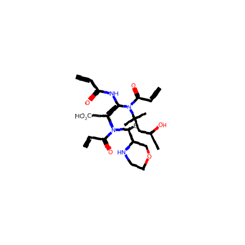 C=CC(=O)NC(=C(C(=O)O)N(C(=O)C=C)C(CC)C1COCCN1)N(C(=O)C=C)C(C)(C)CC(C)O